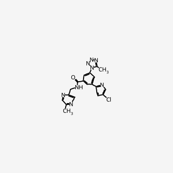 Cc1cnc(CNC(=O)c2cc(-c3ccc(Cl)cn3)cc(-n3nnnc3C)c2)cn1